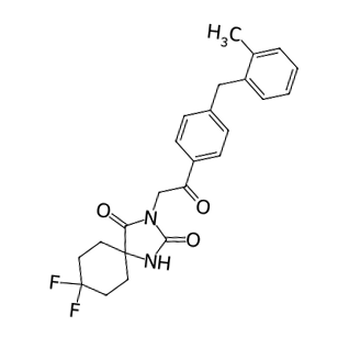 Cc1ccccc1Cc1ccc(C(=O)CN2C(=O)NC3(CCC(F)(F)CC3)C2=O)cc1